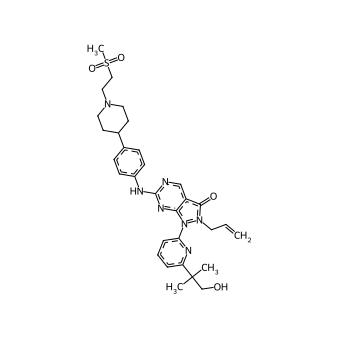 C=CCn1c(=O)c2cnc(Nc3ccc(C4CCN(CCS(C)(=O)=O)CC4)cc3)nc2n1-c1cccc(C(C)(C)CO)n1